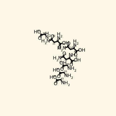 NC(=O)CC(N)C(=O)O.NC(=O)CC(N)C(=O)O.NC(=O)CC(N)C(=O)O.NCC(=O)O.NCC(=O)O.NCC(=O)O.NCC(=O)O